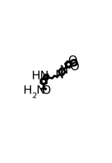 NC(=O)c1ccc2[nH]cc(CCCN3CCN(c4ccc5c(c4)OCCO5)CC3)c2c1